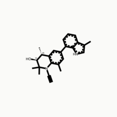 C#CN1c2c(C)cc(-c3cccc4c(C)c[nH]c34)cc2[C@@H](C)[C@H](O)C1(C)C